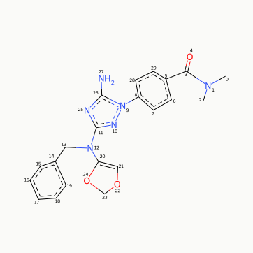 CN(C)C(=O)c1ccc(-n2nc(N(Cc3ccccc3)C3=COCO3)nc2N)cc1